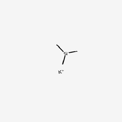 C[Si-](C)C.[K+]